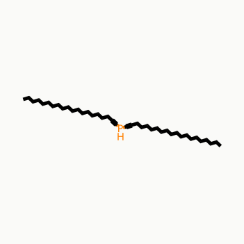 CCCCCCCCCCCCCCCCCCC#CPC#CCCCCCCCCCCCCCCCCCC